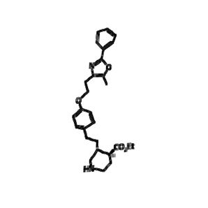 CCOC(=O)[C@H]1CCNCC1CCc1ccc(OCCc2nc(-c3ccccc3)oc2C)cc1